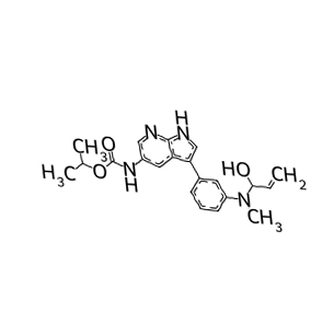 C=CC(O)N(C)c1cccc(-c2c[nH]c3ncc(NC(=O)OC(C)C)cc23)c1